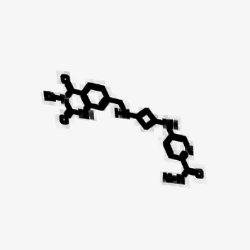 CCn1c(=O)[nH]c2cc(CNC3CC(Nc4ccc(C(=O)NC)nc4)C3)ccc2c1=O